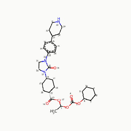 CC(OC(=O)OC1CCCCC1)OC(=O)[C@H]1CC[C@H](N2CCN(c3ccc(C4CCNCC4)cc3)C2=O)CC1